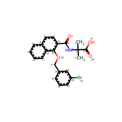 CC(C)(NC(=O)c1ccc2ccccc2c1OCc1cccc(Br)c1)C(=O)O